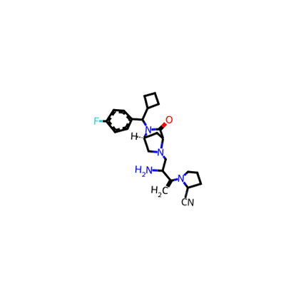 C=C(C(N)CN1C[C@@H]2CC1C(=O)N2C(c1ccc(F)cc1)C1CCC1)N1CCCC1C#N